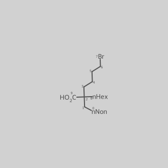 CCCCCCCCCCC(CCCCBr)(CCCCCC)C(=O)O